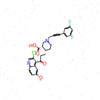 COc1ccc2ncc(Cl)c(C(=O)CC[C@H]3CCN(CC#Cc4cc(F)cc(F)c4)C[C@H]3C(=O)O)c2c1